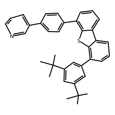 CC(C)(C)c1cc(-c2cccc3c2sc2c(-c4ccc(-c5cccnc5)cc4)cccc23)cc(C(C)(C)C)c1